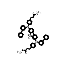 COC(=O)CCc1ccc(N(c2cccc(-c3ccccc3)c2)c2ccc3c(c2)S(=O)(=O)c2cc(N(c4ccc(CCC(=O)OC)cc4)c4cccc(-c5ccccc5)c4)ccc2-3)cc1